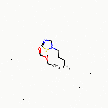 CCCCN1CN=CS1.CCOC=O